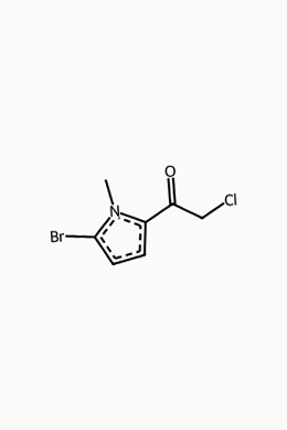 Cn1c(Br)ccc1C(=O)CCl